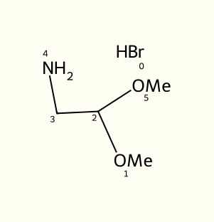 Br.COC(CN)OC